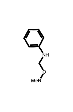 CNOCNc1ccccc1